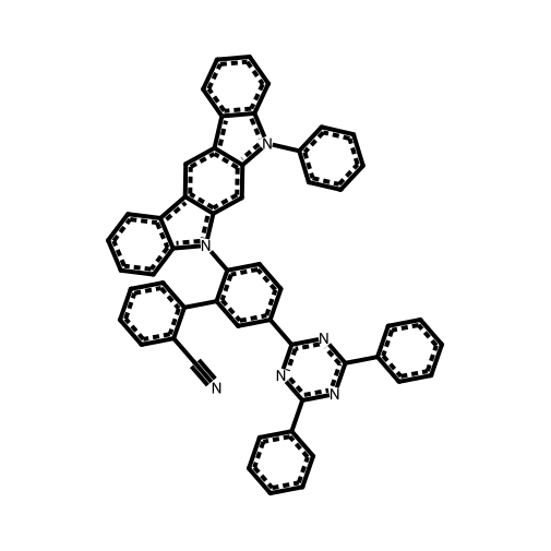 N#Cc1ccccc1-c1cc(-c2nc(-c3ccccc3)nc(-c3ccccc3)n2)ccc1-n1c2ccccc2c2cc3c4ccccc4n(-c4ccccc4)c3cc21